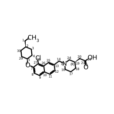 CC[C@H]1CC[C@@H](Oc2ccc3ccc(CN4CCC[C@H](CC(=O)O)C4)cc3c2Cl)CC1